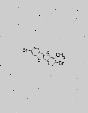 Cc1c(Br)ccc2c1sc1c3ccc(Br)cc3sc21